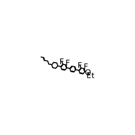 C/C=C/CCC1CCC(c2ccc(-c3ccc(-c4ccc(OCC)c(F)c4F)cc3)c(F)c2F)CC1